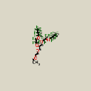 CCOCCOCC(COC(F)(F)C(F)OC(F)(F)C(F)(F)C(F)(F)F)OC(F)(F)C(F)OC(F)(F)C(F)(F)C(F)(F)F